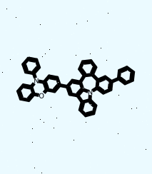 c1ccc(-c2ccc3c(c2)-c2ccccc2-c2cc(-c4ccc5c(c4)Oc4ccccc4N5c4ccccc4)cc4c5ccccc5n-3c24)cc1